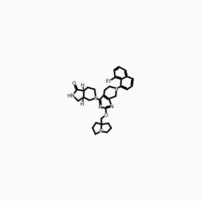 CCc1cccc2cccc(N3CCc4c(nc(OCC56CCCN5CCC6)nc4N4CC[C@H]5C(=O)NC[C@H]5C4)C3)c12